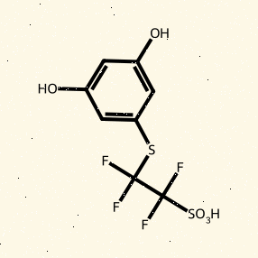 O=S(=O)(O)C(F)(F)C(F)(F)Sc1cc(O)cc(O)c1